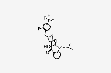 CC(C)CCN1C(=O)C(O)(c2cn(Cc3ccc(C(F)(F)F)cc3F)nn2)C(=O)c2ccccc21